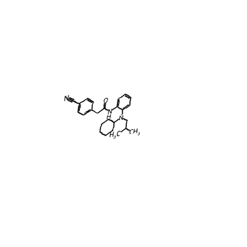 CC(C)CN(c1ccccc1NC(=O)Cc1ccc(C#N)cc1)C1CCCCC1